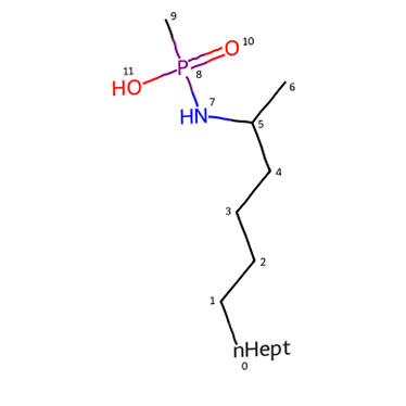 CCCCCCCCCCCC(C)NP(C)(=O)O